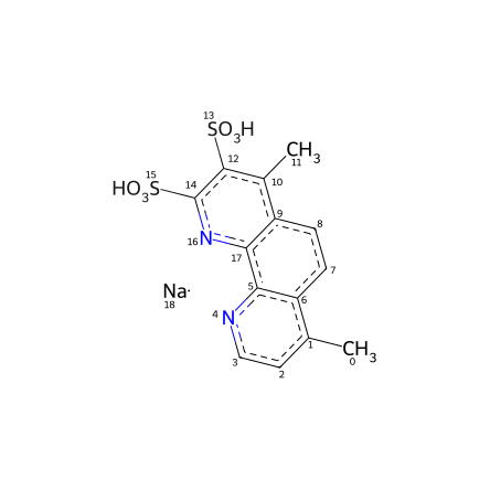 Cc1ccnc2c1ccc1c(C)c(S(=O)(=O)O)c(S(=O)(=O)O)nc12.[Na]